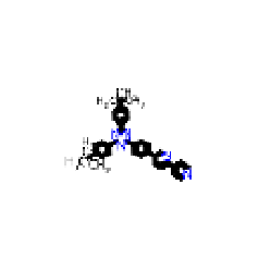 CC(C)(C)c1ccc(-c2nc(-c3ccc(-c4ccc(-c5ccncc5)nc4)cc3)nc(-c3ccc(C(C)(C)C)cc3)n2)cc1